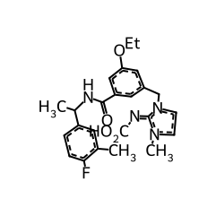 CCOc1cc(Cn2ccn(C)/c2=N\C(=O)O)cc(C(=O)NC(C)c2ccc(F)c(C)c2)c1